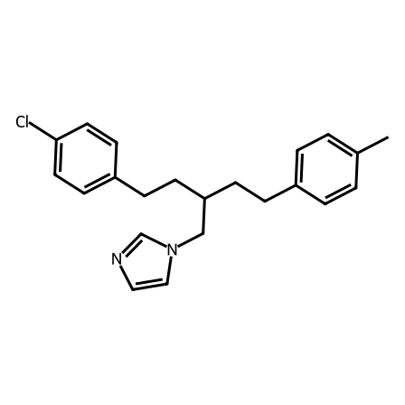 Cc1ccc(CCC(CCc2ccc(Cl)cc2)Cn2ccnc2)cc1